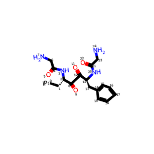 CC(C)C[C@H](NC(=O)CN)C(=O)C(=O)[C@H](Cc1ccccc1)NC(=O)CN